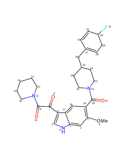 COc1cc2[nH]cc(C(=O)C(=O)N3CCCCC3)c2cc1C(=O)N1CCC(CC2=CCC(F)C=C2)CC1